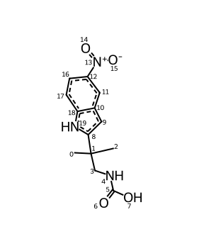 CC(C)(CNC(=O)O)c1cc2cc([N+](=O)[O-])ccc2[nH]1